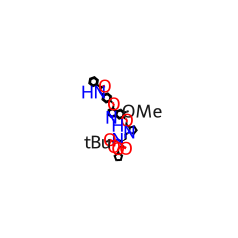 COc1cc2c(Oc3ccc(NC(=O)c4ccccc4)cc3)ccnc2cc1OCC1CCCN1CC[C@H](NC(=O)OC(C)(C)C)C(=O)OC1CCCC1